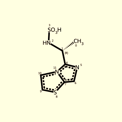 C[C@@H](NS(=O)(=O)O)c1ncc2sccn12